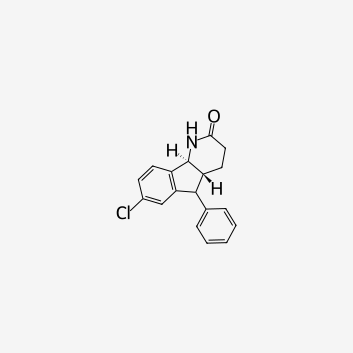 O=C1CC[C@@H]2C(c3ccccc3)c3cc(Cl)ccc3[C@H]2N1